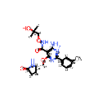 CC(C)(O)CONC(=O)c1c(N)nc(-c2cccc(C#N)c2)nc1OC[C@@H]1CCC(=O)N1